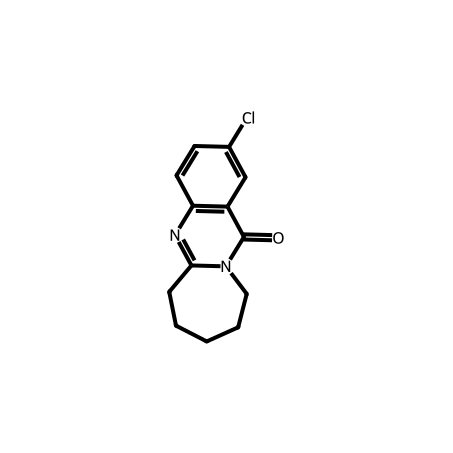 O=c1c2cc(Cl)ccc2nc2n1CCCCC2